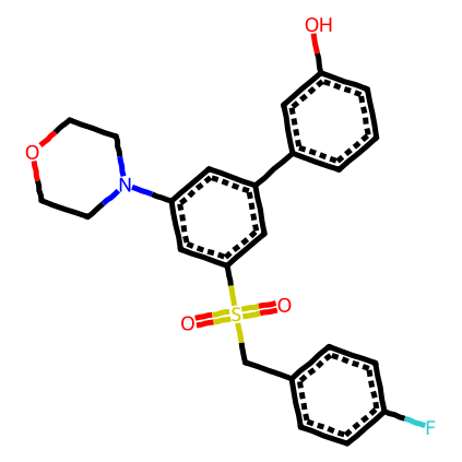 O=S(=O)(Cc1ccc(F)cc1)c1cc(-c2cccc(O)c2)cc(N2CCOCC2)c1